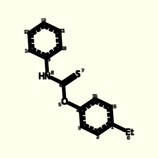 CCc1ccc(OC(=S)Nc2ccccc2)cc1